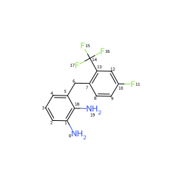 Nc1cccc(Cc2ccc(F)cc2C(F)(F)F)c1N